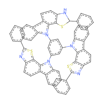 c1ccc(-c2nc3ccc4c5ccccc5n(-c5cc(-n6c7ccccc7c7ccc8c(c76)SC(c6ccccc6)N8)cc(-n6c7ccccc7c7ccc8nc(-c9ccccc9)sc8c76)c5)c4c3s2)cc1